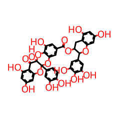 O=C(OC1Cc2c(O)cc(O)cc2OC1c1cc(O)c(O)c(O)c1)c1cc(O)c2c(c1)OC1(c3ccc(O)c(O)c3)Oc3cc(O)cc(O)c3C(=O)C1(O)O2